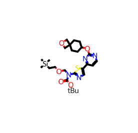 CC(C)(C)OC(=O)N(COCC[Si](C)(C)C)c1ncc(-c2ccnc(OC3CCC4(CC3)COC4)n2)s1